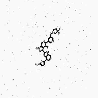 CC(=O)c1ccc(-c2cccc3[nH]c(-c4n[nH]c5cnc(-c6cncc(CN7CCC(F)(F)C7)c6)c(F)c45)nc23)s1